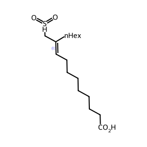 CCCCCC/C(=C\CCCCCCCC(=O)O)C[SH](=O)=O